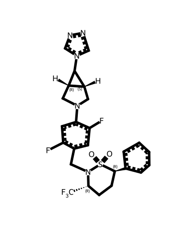 O=S1(=O)[C@@H](c2ccccc2)CC[C@H](C(F)(F)F)N1Cc1cc(F)c(N2C[C@@H]3C(n4cnnc4)[C@@H]3C2)cc1F